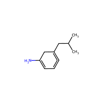 CC(C)CC1=C=CC=C(N)C1